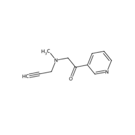 C#CCN(C)CC(=O)c1cccnc1